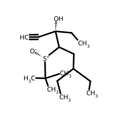 C#C[C@@](O)(CC)C(CC(CC)CC)[S@@+]([O-])C(C)(C)C